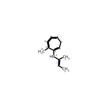 C/C=C(\C)NC1=CCC=C=C=C1C